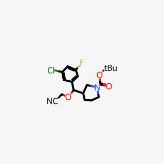 CC(C)(C)OC(=O)N1CCCC(C(OCC#N)c2cc(F)cc(Cl)c2)C1